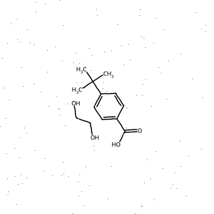 CC(C)(C)c1ccc(C(=O)O)cc1.OCCO